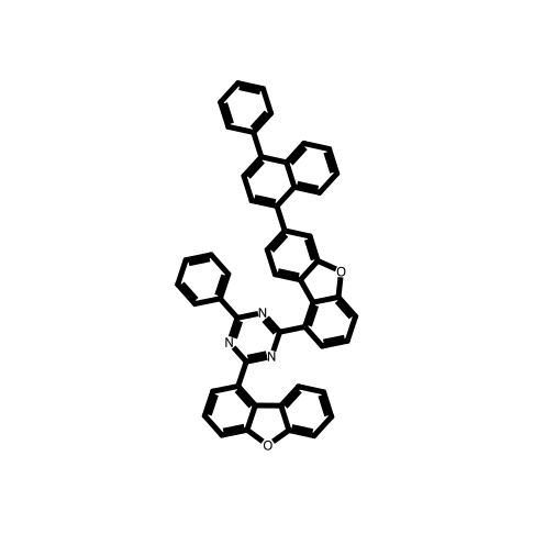 c1ccc(-c2nc(-c3cccc4oc5ccccc5c34)nc(-c3cccc4oc5cc(-c6ccc(-c7ccccc7)c7ccccc67)ccc5c34)n2)cc1